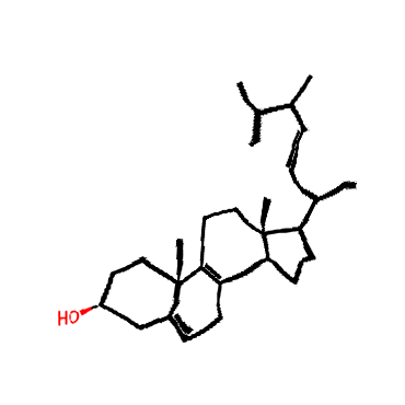 CC(C)C(C)/C=C/C(C)C1CCC2C3=C(CC[C@@]21C)[C@@]1(C)CC[C@H](O)CC1=CC3